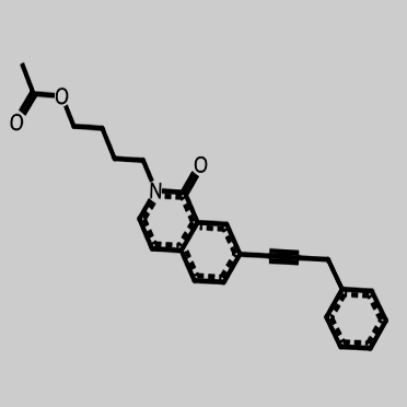 CC(=O)OCCCCn1ccc2ccc(C#CCc3ccccc3)cc2c1=O